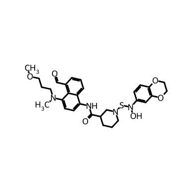 COCCCN(C)c1ccc(NC(=O)C2CCCN(SN(O)c3ccc4c(c3)OCCO4)C2)c2cccc(C=O)c12